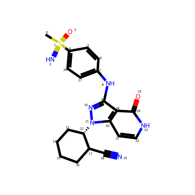 CS(=N)(=O)c1ccc(Nc2nn([C@H]3CCCCC3C#N)c3cc[nH]c(=O)c23)cc1